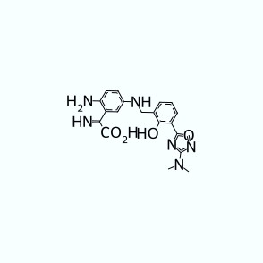 CN(C)c1noc(-c2cccc(CNc3ccc(N)c(C(=N)C(=O)O)c3)c2O)n1